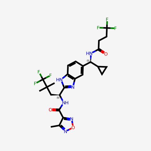 Cc1nonc1C(=O)N[C@@H](CC(C)(C)C(F)(F)F)c1nc2cc([C@@H](NC(=O)CCC(F)(F)F)C3CC3)ccc2[nH]1